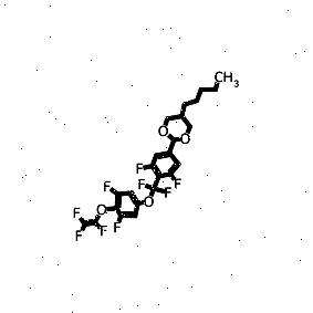 CCCCCC1COC(c2cc(F)c(C(F)(F)Oc3cc(F)c(OC(F)=C(F)F)c(F)c3)c(F)c2)OC1